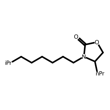 CCCC1COC(=O)N1CCCCCCC(C)C